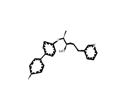 C[C@H](Oc1ccc(-c2ccc(F)cc2)cc1)[C@H](O)CCc1cccnc1